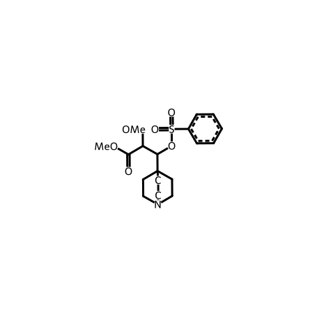 COC(=O)C(OC)C(OS(=O)(=O)c1ccccc1)C12CCN(CC1)CC2